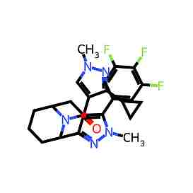 Cn1cc(C(=O)N2C3CCCC2c2nn(C)c(-c4cc(F)c(F)c(F)c4)c2C3)c(C2CC2)n1